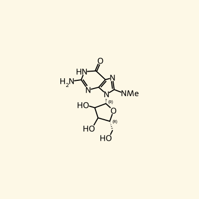 CNc1nc2c(=O)[nH]c(N)nc2n1[C@@H]1O[C@H](CO)C(O)C1O